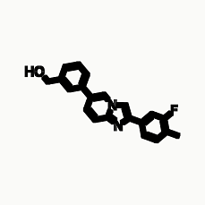 Cc1ccc(-c2cn3cc(-c4cccc(CO)c4)ccc3n2)cc1F